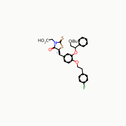 CC(C)COCC(Oc1cc(/C=C2\SC(=S)N(CC(=O)O)C2=O)ccc1OCCc1ccc(F)cc1)c1ccccc1